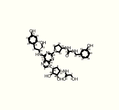 O=C(CO)N[C@H]1C[C@@H](n2cnc3c(N[C@H](CO)Cc4ccc(O)cc4)nc(N4CCC(NC(=O)NCc5cccc(O)c5)C4)nc32)[C@H](O)[C@@H]1O